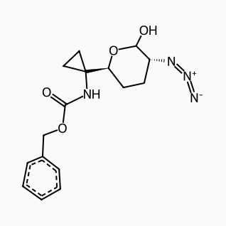 [N-]=[N+]=N[C@@H]1CC[C@@H](C2(NC(=O)OCc3ccccc3)CC2)OC1O